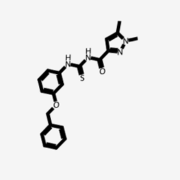 Cc1cc(C(=O)NC(=S)Nc2cccc(OCc3ccccc3)c2)nn1C